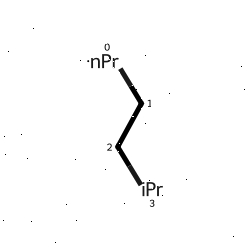 CC[CH]CCC(C)C